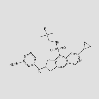 CC(C)(F)CNS(=O)(=O)c1c2c(cc3cnc(C4CC4)cc13)CC(Nc1cncc(C#N)c1)C2